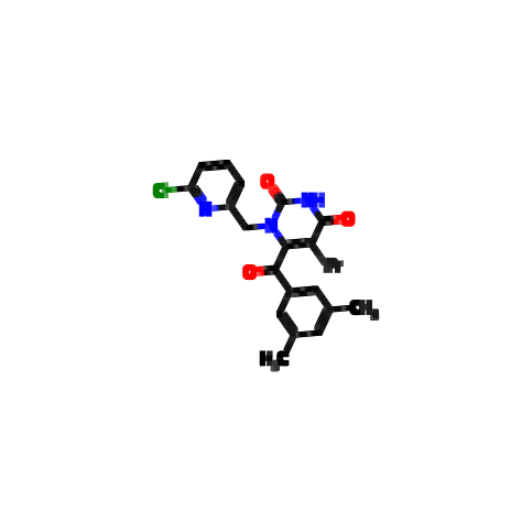 Cc1cc(C)cc(C(=O)c2c(C(C)C)c(=O)[nH]c(=O)n2Cc2cccc(Cl)n2)c1